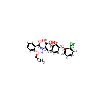 CCOc1ccccc1C(=O)N/C(=C/c1ccc(Oc2ccccc2Br)cc1)C(=O)O